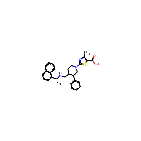 Cc1nc(N2CCC(CN[C@H](C)c3cccc4ccccc34)C(c3ccccc3)C2)sc1C(=O)O